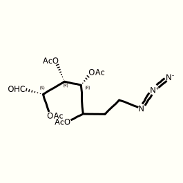 CC(=O)OC(CCN=[N+]=[N-])[C@@H](OC(C)=O)[C@@H](OC(C)=O)[C@@H](C=O)OC(C)=O